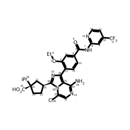 CCOc1cc(C(=O)Nc2cc(C(F)(F)F)ccn2)ccc1-c1nc([C@H]2CC[C@](C(=O)O)(C(C)C)C2)n2c(Cl)cnc(N)c12